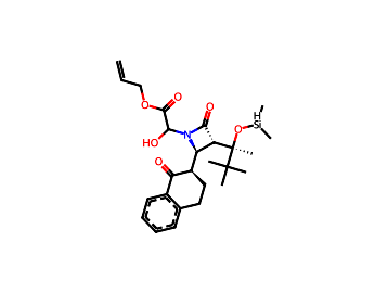 C=CCOC(=O)C(O)N1C(=O)[C@H]([C@@](C)(O[SiH](C)C)C(C)(C)C)[C@H]1[C@H]1CCc2ccccc2C1=O